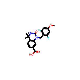 COc1cc(F)c(CN2C(=O)NC(C)(C)c3ccc(C(=O)O)cc32)c(F)c1